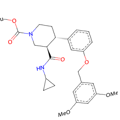 COc1cc(COc2cccc([C@H]3CCN(C(=O)OC(C)(C)C)C[C@@H]3C(=O)NC3CC3)c2)cc(OC)c1